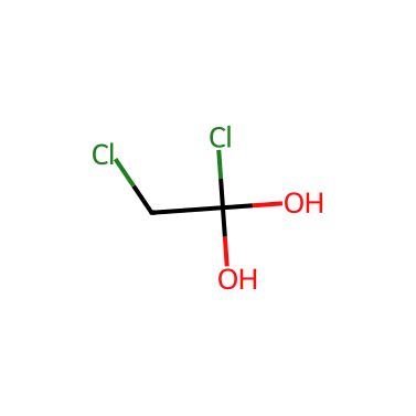 OC(O)(Cl)CCl